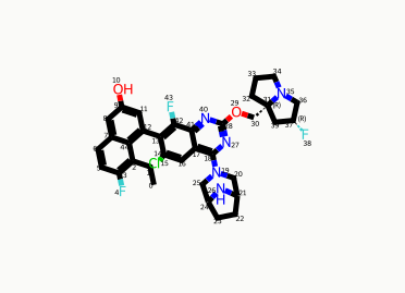 CCc1c(F)ccc2cc(O)cc(-c3c(Cl)cc4c(N5CC6CCC(C5)N6)nc(OC[C@]56CCCN5C[C@H](F)C6)nc4c3F)c12